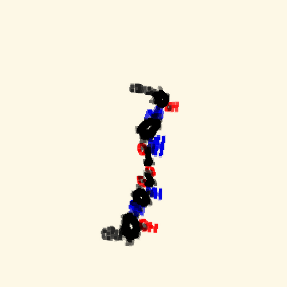 CC(C)(C)c1ccc(O)c(-n2n3c4ccc(NC(=O)CCOCCC(=O)Nc5ccc6c(c5)n5n(-c7cc(C(C)(C)C)ccc7O)n65)cc4n23)c1